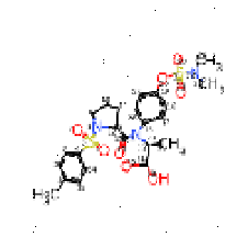 Cc1ccc(S(=O)(=O)N2CCC[C@H]2C(=O)N(c2ccc(OS(=O)(=O)N(C)C)cc2)[C@@H](C)C(=O)O)cc1